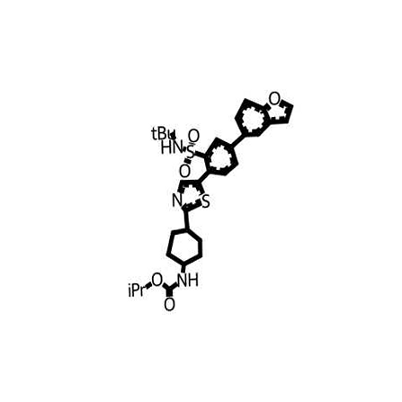 CC(C)OC(=O)NC1CCC(c2ncc(-c3ccc(-c4ccc5occc5c4)cc3S(=O)(=O)NC(C)(C)C)s2)CC1